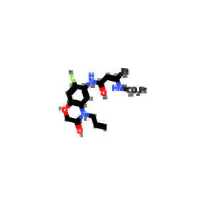 C=CCN1C(=O)COc2cc(F)c(NC(=O)C=C(CC)NC(=O)OCC)cc21